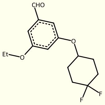 CCOc1cc(C=O)cc(OC2CCC(F)(F)CC2)c1